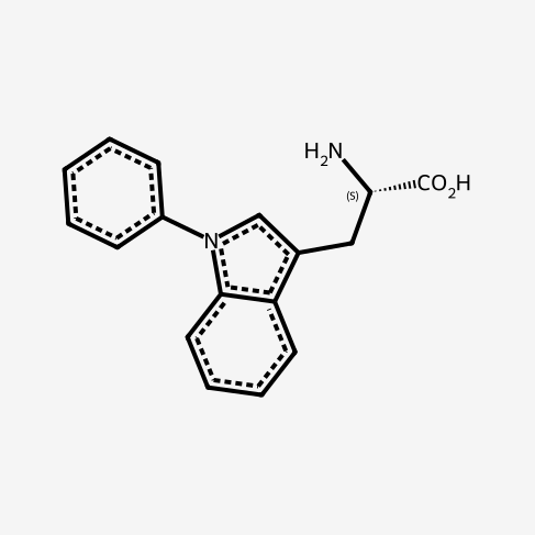 N[C@@H](Cc1cn(-c2ccccc2)c2ccccc12)C(=O)O